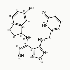 O=c1cccc(CNc2nonc2/C(=N\O)NC2CCc3ccc(F)cc32)[nH]1